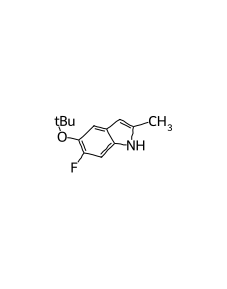 Cc1cc2cc(OC(C)(C)C)c(F)cc2[nH]1